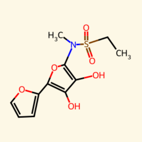 CCS(=O)(=O)N(C)c1oc(-c2ccco2)c(O)c1O